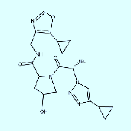 CC(C)(C)[C@@H](C(=O)N1CC(O)CC1C(=O)NCc1ncoc1C1CC1)n1cc(C2CC2)nn1